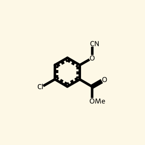 COC(=O)c1cc(Cl)ccc1OC#N